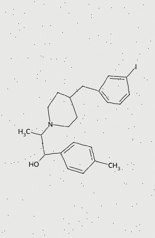 Cc1ccc(C(O)C(C)N2CCC(Cc3cccc(I)c3)CC2)cc1